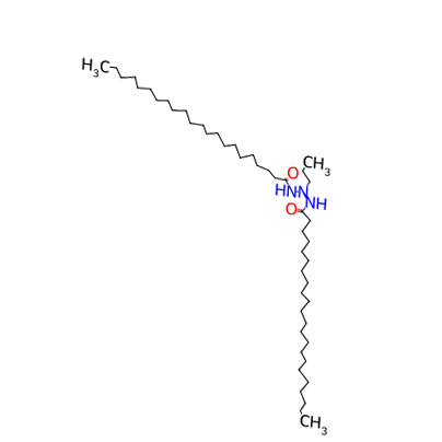 CCCCCCCCCCCCCCCCCCCCCC(=O)NN(CCC)NC(=O)CCCCCCCCCCCCCCCCCCCCC